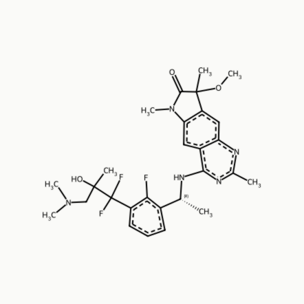 COC1(C)C(=O)N(C)c2cc3c(N[C@H](C)c4cccc(C(F)(F)C(C)(O)CN(C)C)c4F)nc(C)nc3cc21